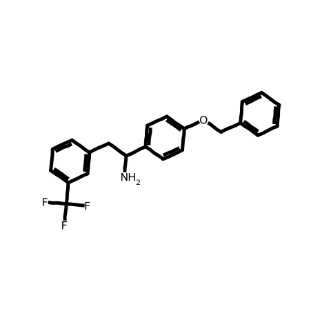 NC(Cc1cccc(C(F)(F)F)c1)c1ccc(OCc2ccccc2)cc1